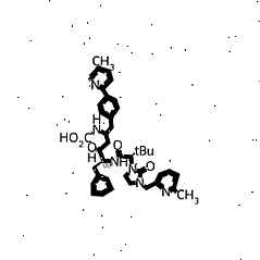 Cc1ccc(-c2ccc(CC(C[C@H](O)[C@H](Cc3ccccc3)NC(=O)[C@@H](N3CCN(Cc4cccc(C)n4)C3=O)C(C)(C)C)NC(=O)O)cc2)nc1